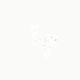 COc1cc(F)c(O[C@H]2CC[C@@](C)(C(=O)O)CC2)cc1C(=O)N[C@@H]1[C@H]2CC[C@H](C2)[C@@H]1C(=O)NCC1(F)CCC1